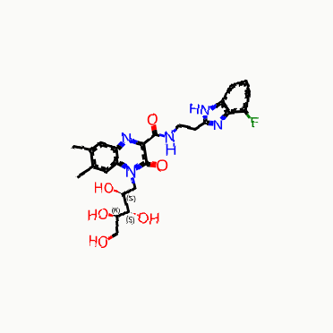 Cc1cc2nc(C(=O)NCCc3nc4c(F)cccc4[nH]3)c(=O)n(C[C@H](O)[C@H](O)[C@H](O)CO)c2cc1C